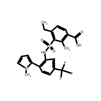 CCc1ccc(C(=O)O)c(C)c1S(=O)(=O)Nc1cc(C(F)(F)F)ccc1-c1cccn1C